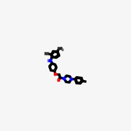 Cc1ccc(N2CCN(C(=O)COC3CCC(Nc4ccc([N+](=O)[O-])cc4C#N)CC3)CC2)cc1